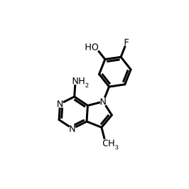 Cc1cn(-c2ccc(F)c(O)c2)c2c(N)ncnc12